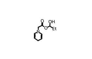 CCC(O)OC(=O)CN1C=CCC=C1